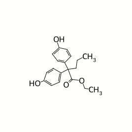 CCCC(C(=O)OCC)(c1ccc(O)cc1)c1ccc(O)cc1